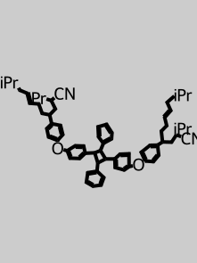 CC(C)C/C=C/CCC(CC(C#N)C(C)C)c1ccc(Oc2ccc(C3C(c4ccccc4)C(c4ccc(Oc5ccc(C(CC/C=C/CC(C)C)CC(C#N)C(C)C)cc5)cc4)C3c3ccccc3)cc2)cc1